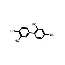 Nc1ccc(-c2ccc(O)c(O)c2)c(O)c1